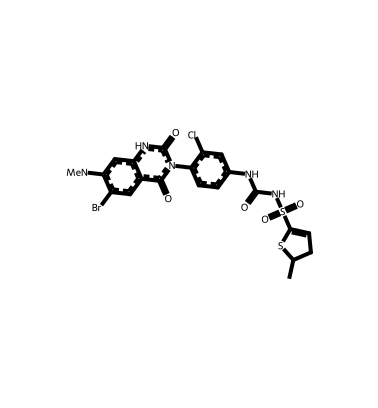 CNc1cc2[nH]c(=O)n(-c3ccc(NC(=O)NS(=O)(=O)C4=CCC(C)S4)cc3Cl)c(=O)c2cc1Br